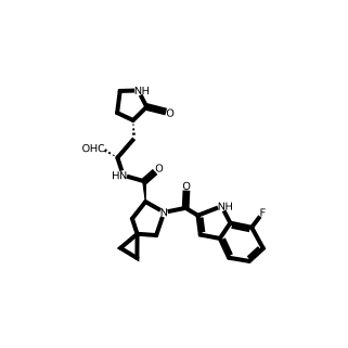 O=C[C@H](C[C@@H]1CCNC1=O)NC(=O)[C@@H]1CC2(CC2)CN1C(=O)c1cc2cccc(F)c2[nH]1